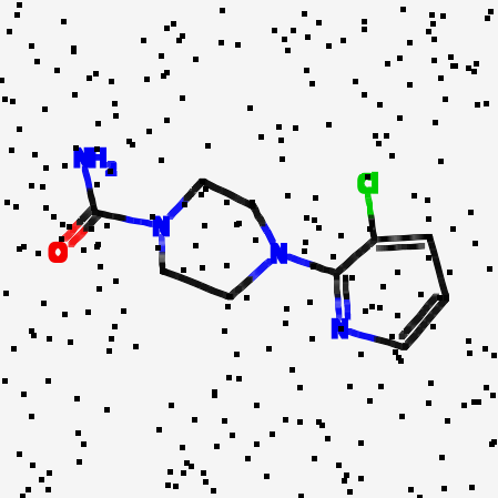 NC(=O)N1CCN(c2ncccc2Cl)CC1